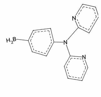 Bc1ccc(N(c2ccccn2)c2ccccn2)cc1